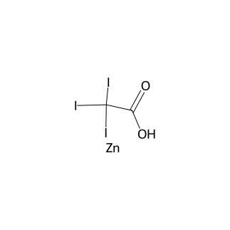 O=C(O)C(I)(I)I.[Zn]